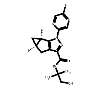 CC(C)(CO)NC(=O)c1nn(-c2cnc(Br)cn2)c2c1C[C@H]1C[C@@H]21